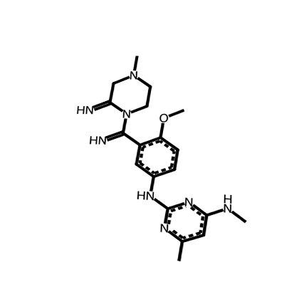 CNc1cc(C)nc(Nc2ccc(OC)c(C(=N)N3CCN(C)CC3=N)c2)n1